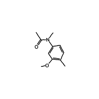 COc1cc(N(C)C(C)=O)ccc1C